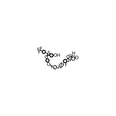 O=C1CCC(N2Cc3c(ccc(N4CCN(CC5CCN(CCOc6ccc(Oc7c(-c8ccc(C(F)(F)F)cc8)sc8cc(O)ccc78)cc6)CC5)CC4)c3F)C2=O)C(=O)N1